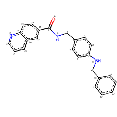 O=C(NCc1ccc(NCc2ccccc2)cc1)c1ccc2ncccc2c1